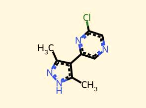 Cc1n[nH]c(C)c1-c1cncc(Cl)n1